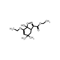 CCOC(=O)C1=NOC2(O)C(OCC)=CC(C)(C)CC12